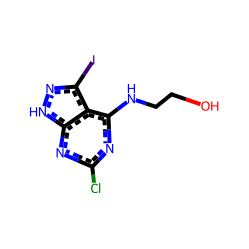 OCCNc1nc(Cl)nc2[nH]nc(I)c12